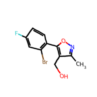 Cc1noc(-c2ccc(F)cc2Br)c1CO